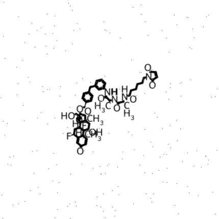 C[C@H](NC(=O)CCCCCN1C(=O)C=CC1=O)C(=O)N[C@@H](C)C(=O)Nc1cccc(Cc2ccc([C@@H]3OC4C[C@H]5[C@@H]6C[C@H](F)C7=CC(=O)C=C[C@]7(C)[C@@]6(F)[C@@H](O)C[C@]5(C)[C@]4(C(=O)CO)O3)cc2)c1